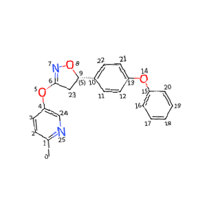 Cc1ccc(OC2=NO[C@H](c3ccc(Oc4ccccc4)cc3)C2)cn1